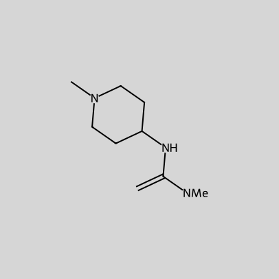 C=C(NC)NC1CCN(C)CC1